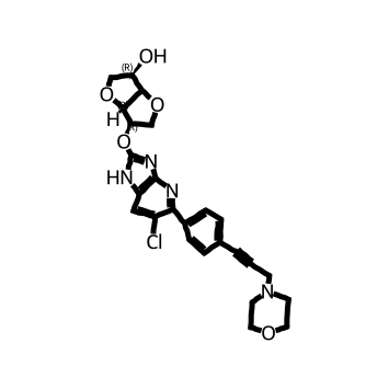 O[C@@H]1CO[C@H]2C1OC[C@H]2Oc1nc2nc(-c3ccc(C#CCN4CCOCC4)cc3)c(Cl)cc2[nH]1